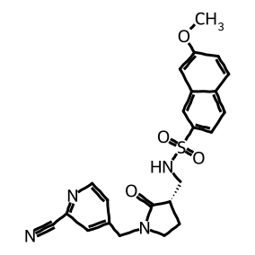 COc1ccc2ccc(S(=O)(=O)NC[C@@H]3CCN(Cc4ccnc(C#N)c4)C3=O)cc2c1